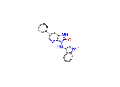 Cn1cc(Nn2c(=O)[nH]c3cc(-c4ccccc4)cnc32)c2ccccc21